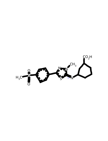 Cn1nc(-c2ccc(S(C)(=O)=O)cc2)s/c1=N/C1CCCC(C(=O)O)C1